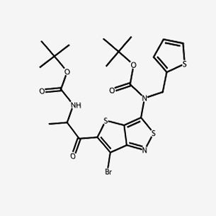 CC(NC(=O)OC(C)(C)C)C(=O)c1sc2c(N(Cc3cccs3)C(=O)OC(C)(C)C)snc2c1Br